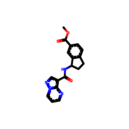 COC(=O)c1ccc2c(c1)C(NC(=O)c1cnn3cccnc13)CC2